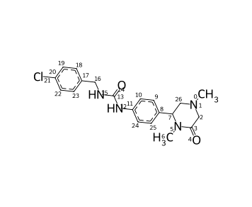 CN1CC(=O)N(C)C(c2ccc(NC(=O)NCc3ccc(Cl)cc3)cc2)C1